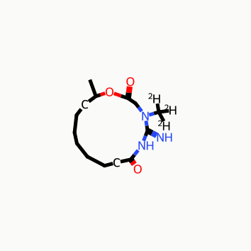 [2H]C([2H])([2H])N1CC(=O)OC(C)CCCCCCCC(=O)NC1=N